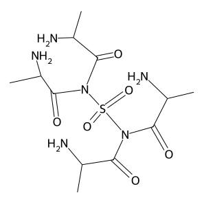 CC(N)C(=O)N(C(=O)C(C)N)S(=O)(=O)N(C(=O)C(C)N)C(=O)C(C)N